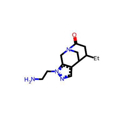 CCC1CC(=O)N2Cc3c(cnn3CCN)C1C2